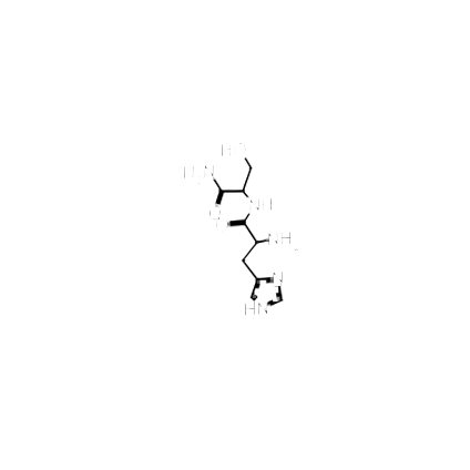 NC(=O)C(CO)NC(=O)C(N)Cc1c[nH]cn1